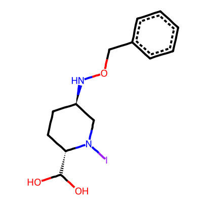 OC(O)[C@@H]1CC[C@@H](NOCc2ccccc2)CN1I